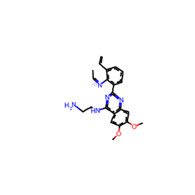 C=Cc1cccc(-c2nc(NCCN)c3cc(OC)c(OC)cc3n2)c1/N=C\C